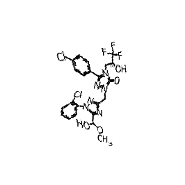 COC(O)c1nc(Cn2nc(-c3ccc(Cl)cc3)n(C[C@H](O)C(F)(F)F)c2=O)nn1-c1ccccc1Cl